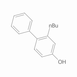 CCCCc1cc(O)ccc1-c1ccccc1